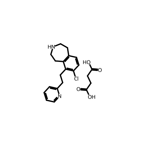 Clc1ccc2c(c1CCc1ccccn1)CCNCC2.O=C(O)CCC(=O)O